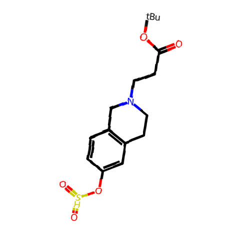 CC(C)(C)OC(=O)CCN1CCc2cc(O[SH](=O)=O)ccc2C1